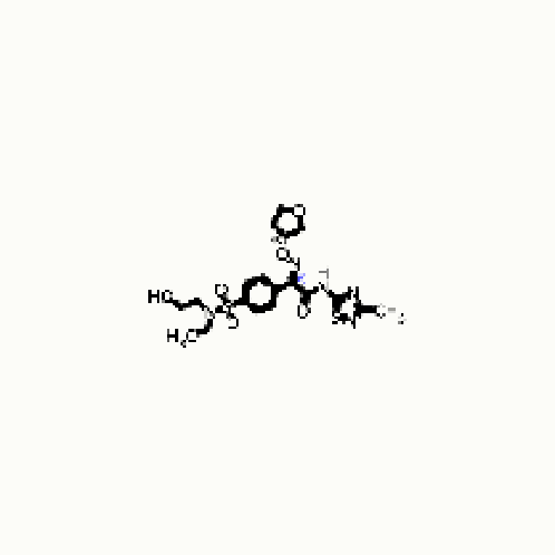 CCN(CCO)S(=O)(=O)c1ccc(/C(=N\O[C@@H]2CCOC2)C(=O)Nc2nc(C)ns2)cc1